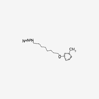 Cc1cccc(OCCCCCCCCN=[N+]=[N-])c1